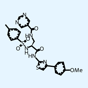 COc1ccc(-c2csc(NC(=O)[C@H](CNC(=O)c3cncnc3)NS(=O)(=O)c3ccc(C)cc3)n2)cc1